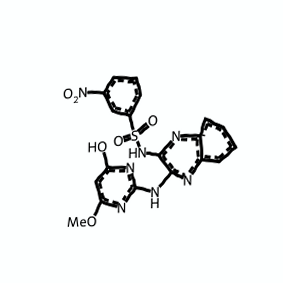 COc1cc(O)nc(Nc2nc3ccccc3nc2NS(=O)(=O)c2cccc([N+](=O)[O-])c2)n1